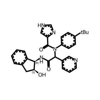 CC(C)(C)c1ccc(N(C(=O)c2c[nH]cn2)C(C(=O)N[C@@H]2c3ccccc3C[C@@H]2O)c2cccnc2)cc1